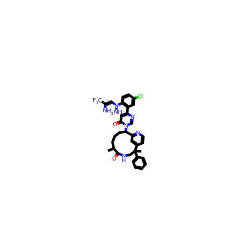 CC1CCCC(n2cnc(-c3cc(Cl)ccc3N(N)/C=C(\N)C(F)(F)F)cc2=O)c2cc(ccn2)C(C)(c2ccccc2)CNC1=O